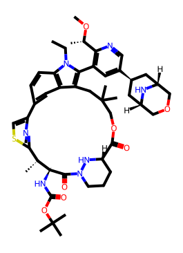 CCn1c(-c2cc([C@@H]3C[C@H]4COC[C@@H](C3)N4)cnc2[C@H](C)OC)c2c3cc(ccc31)-c1csc(n1)[C@@H](C)[C@H](NC(=O)OC(C)(C)C)C(=O)N1CCC[C@H](N1)C(=O)OCC(C)(C)C2